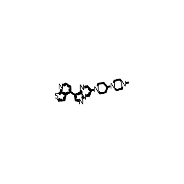 CN1CCN(C2CCN(c3cnc4c(-c5ccnc6sccc56)cnn4c3)CC2)CC1